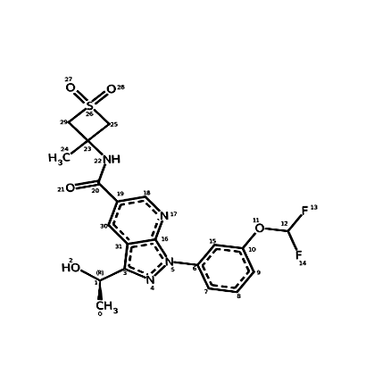 C[C@@H](O)c1nn(-c2cccc(OC(F)F)c2)c2ncc(C(=O)NC3(C)CS(=O)(=O)C3)cc12